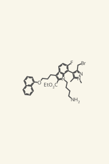 CCOC(=O)c1c(CCCOc2cccc3ccccc23)c2ccc(F)c(-c3c(CBr)nn(C)c3C)c2n1CCCCN